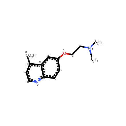 CN(C)CCOc1ccc2nccc(C(=O)O)c2c1